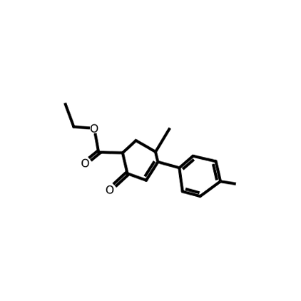 CCOC(=O)C1CC(C)C(c2ccc(C)cc2)=CC1=O